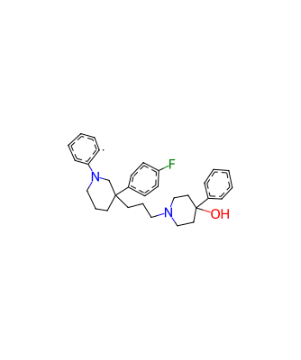 OC1(c2ccccc2)CCN(CCCC2(c3ccc(F)cc3)CCCN(c3[c]cccc3)C2)CC1